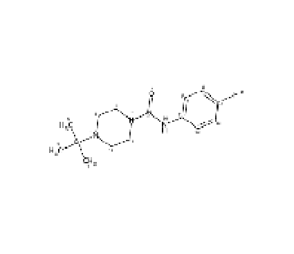 CC(C)(C)N1CCN(C(=O)Nc2ccc(F)cc2)CC1